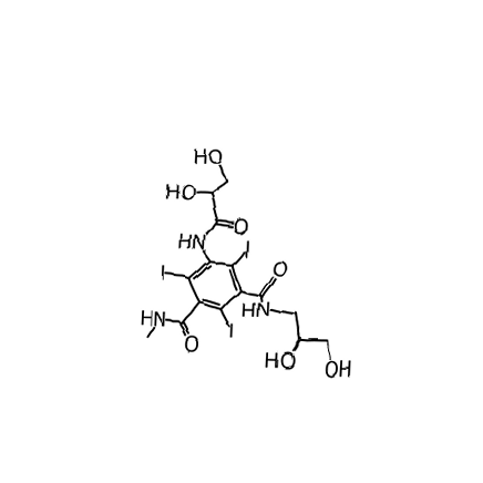 CNC(=O)c1c(I)c(NC(=O)C(O)CO)c(I)c(C(=O)NCC(O)CO)c1I